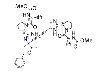 C=C(OCc1ccccc1)C(C)(C#CC#Cc1cnc([C@@H]2CCCN2C(=O)[C@@H](NC(=O)OC)C(C)C)[nH]1)/N=C(\N)[C@@H]1CCCN1C(=O)[C@@H](NC(=O)OC)C(C)C